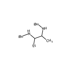 CCC(C)NC(C)C(CC)NC(C)CC